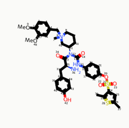 COc1ccc(C[N+]2(C)CCC[C@H](N(C(=O)Nc3ccc(OS(=O)(=O)c4cc(C)sc4C)cc3)C(=O)[C@@H](N)Cc3ccc(O)cc3)C2)cc1OC